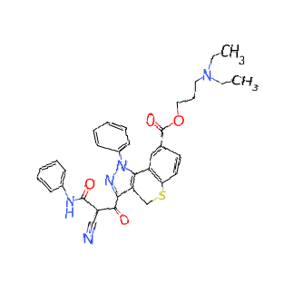 CCN(CC)CCCOC(=O)c1ccc2c(c1)-c1c(c(C(=O)C(C#N)C(=O)Nc3ccccc3)nn1-c1ccccc1)CS2